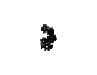 Fc1ccc(F)c([C@H]2CCCN2c2ccn3ncc(-n4cc(C5=CCCCC5)cn4)c3n2)c1